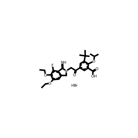 Br.CCOc1cc2c(c(F)c1OCC)C(=N)N(CC(=O)c1cc(C(=O)O)c(OC(C)C)c(C(C)(C)C)c1)C2